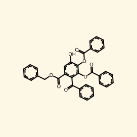 O=C(Oc1c(O)cc(C(=O)OCc2ccccc2)c(C(=O)c2ccccc2)c1OC(=O)c1ccccc1)c1ccccc1